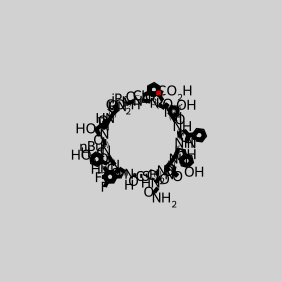 CCCC[C@H]1C(=O)N2C[C@H](O)C[C@@H]2C(=O)N[C@@H](CC(=O)O)C(=O)N[C@@H](C(C)C)C(=O)N(C)[C@@H](Cc2ccccc2)C(=O)N[C@@H](CCC(=O)O)C(=O)N2C[C@H](O)C[C@@H]2C(=O)N[C@@H](Cc2c[nH]c3ccccc23)C(=O)N[C@@H](Cc2ccc(O)cc2)C(=O)N[C@@H](CC(N)=O)C(=O)N[C@H](C(=O)NCC(N)=O)CSCC(=O)N[C@@H](Cc2cc(F)c(F)c(F)c2)C(=O)N(C)[C@@H](Cc2ccc(O)cc2)C(=O)N1C